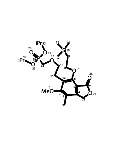 COc1c(C)c2c(c(OCC[Si](C)(C)C)c1CCOCP(=O)(OC(C)C)OC(C)C)C(=O)OC2